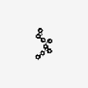 c1ccc(-c2ccc(-n3c4ccccc4c4cc(N(c5ccccc5)c5ccc(-c6cccc7c6sc6ccccc67)cc5)ccc43)cc2)cc1